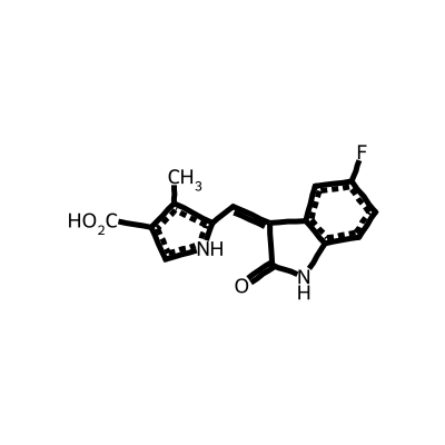 Cc1c(C(=O)O)c[nH]c1C=C1C(=O)Nc2ccc(F)cc21